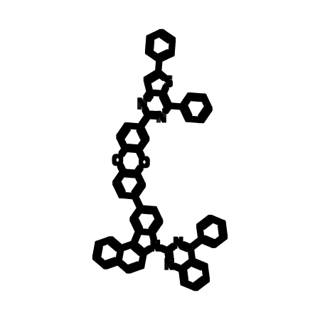 c1ccc(-c2cc3nc(-c4ccc5c(c4)Oc4cc(-c6ccc7c(c6)c6c8ccccc8ccc6n7-c6nc(-c7ccccc7)c7ccccc7n6)ccc4O5)nc(-c4ccccc4)c3s2)cc1